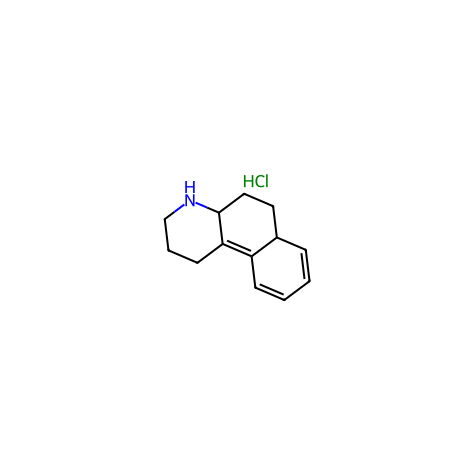 C1=CC2=C3CCCNC3CCC2C=C1.Cl